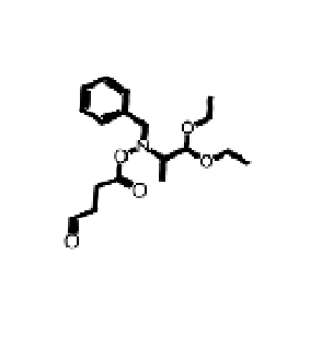 CCOC(OCC)C(C)N(Cc1ccccc1)OC(=O)CCC=O